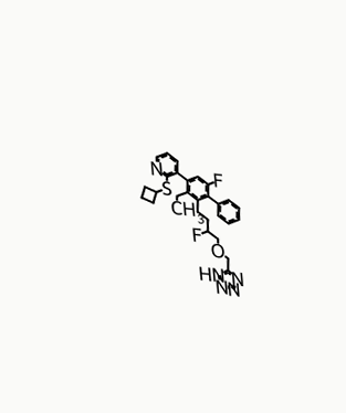 CCc1c(-c2cccnc2SC2CCC2)cc(F)c(-c2ccccc2)c1CCC(F)COCc1nnn[nH]1